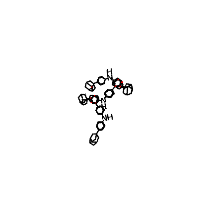 c1cc(C2CC3CC2C(C2C4CC5CC(c6ccc(Nc7ccc(C89CCC(C8)C(C8C%10CC%11CC(c%12ccc(Nc%13ccc(C%14%15CC%16CC(C%14)C(C%16)C%15)cc%13)cc%12)(C%10)CC%118)C9)cc7)cc6)(C4)CC52)C3)ccc1Nc1ccc(C23CC4CC(C2)C(C4)C3)cc1